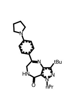 CCCn1nc(C(C)(C)C)c2c1C(=O)NCC(c1ccc(N3CCCC3)cc1)=N2